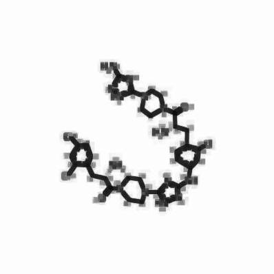 Nc1n[nH]c(N2CCN(C(=O)[C@@H](N)Cc3ccc(Nc4n[nH]c(N5CCN(C(=O)[C@@H](N)Cc6ccc(Cl)cc6Cl)CC5)n4)cc3Cl)CC2)n1